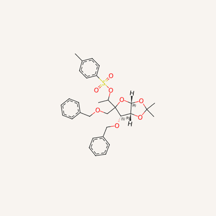 Cc1ccc(S(=O)(=O)OC(C)C2(COCc3ccccc3)O[C@@H]3OC(C)(C)O[C@@H]3[C@@H]2OCc2ccccc2)cc1